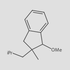 COC1c2ccccc2CC1(C)CC(C)C